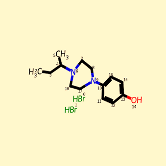 Br.Br.CCC(C)N1CCN(c2ccc(O)cc2)CC1